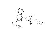 C[C@H]1CCN1c1nc(N2C[C@@H]3[C@@H](CC(=O)O)[C@@H]3C2)c2cccc(F)c2n1